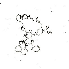 Cc1cccc2cccc(-n3c(-c4ccccc4)nc4c(N5CCN(C(=O)O)C(CC#N)C5)nc(OCC5CCCN5C)nc4c3=O)c12